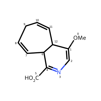 COC1=CN=C(C(=O)O)C2C=CCC=CC12